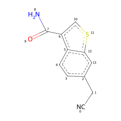 N#C[CH]c1ccc2c(C(N)=O)csc2c1